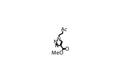 COC(=O)c1cn(CCC(C)=O)nn1